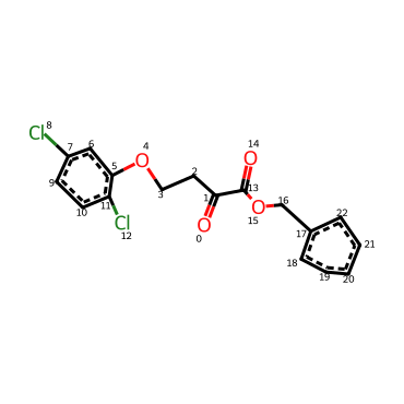 O=C(CCOc1cc(Cl)ccc1Cl)C(=O)OCc1ccccc1